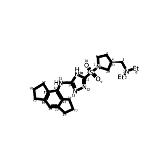 CCN(CC)C[C@@H]1CCN(S(=O)(=O)c2nnc(Nc3c4c(cc5c3CCC5)CCC4)[nH]2)C1